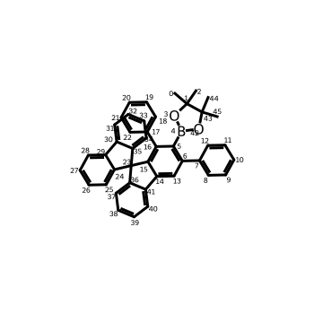 CC1(C)OB(c2c(-c3ccccc3)cc3c(c2-c2ccccc2)C2(c4ccccc4-c4ccccc42)c2ccccc2-3)OC1(C)C